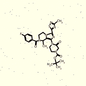 Cc1nsc(-c2nc(N3CCN(C(=O)OC(C)(C)C)CC3=O)c3n2CCN(C(=O)c2ccc(F)cc2)C3C)n1